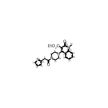 CCOC(=O)c1c(N2CCN(C(=O)Cc3cccs3)CC2)c2ccccc2n(C)c1=O